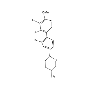 CCCC1CCC(c2ccc(-c3ccc(OC)c(F)c3F)c(F)c2)OC1